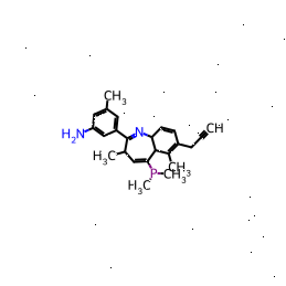 C#CCC1=C(C)C2C(P(C)C)=CC(C)C(c3cc(C)cc(N)c3)=NC2C=C1